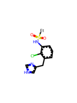 CCS(=O)(=O)Nc1cccc(Cc2c[nH]cn2)c1Cl